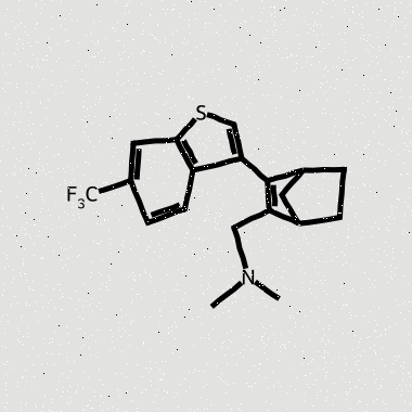 CN(C)CC1=C(c2csc3cc(C(F)(F)F)ccc23)C2CCC1C2